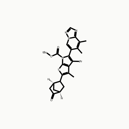 Cc1c(-c2c(C(C)C)c3c(C)c(C4C[C@@H]5C[C@H]4CC5=O)sc3n2C(=O)OC(C)(C)C)cn2ncnc2c1C